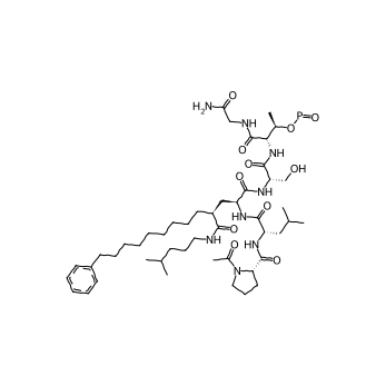 CC(=O)N1CCC[C@H]1C(=O)N[C@@H](CC(C)C)C(=O)N[C@@H](C[C@H](CCCCCCCCCc1ccccc1)C(=O)NCCCC(C)C)C(=O)N[C@@H](CO)C(=O)N[C@H](C(=O)NCC(N)=O)[C@@H](C)OP=O